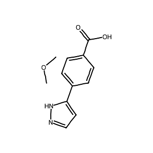 COC.O=C(O)c1ccc(-c2ccn[nH]2)cc1